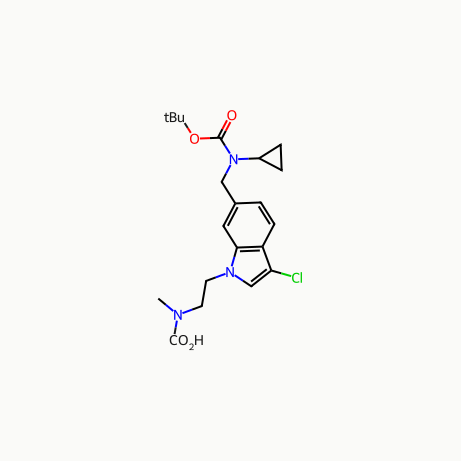 CN(CCn1cc(Cl)c2ccc(CN(C(=O)OC(C)(C)C)C3CC3)cc21)C(=O)O